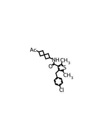 CC(=O)C1CC2(CC(NC(=O)c3c(C)sc(C)c3Cc3ccc(Cl)cc3)C2)C1